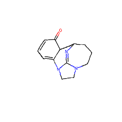 O=C1C=CC=C2C1C1CCCN3CCN2C3=N1